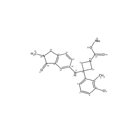 Cc1c(Cl)cccc1C1(Nc2ccc3c(c2)C(=O)N(C)C3)CN(C(=O)OC(C)(C)C)C1